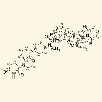 CN(C(=O)N1CCC(Oc2cccc(N3[C@@H]4COC[C@H]3CN(c3cc(-c5cccc(F)c5O)nnc3N)C4)c2)CC1)C1CCN(c2cccc3c2OCCN3[C@H]2CCC(=O)NC2=O)CC1